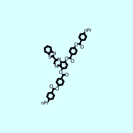 CCCc1ccc(C(=O)Oc2ccc(C(=O)Oc3ccc(OC(=O)c4ccc(OC(=O)c5ccc(CCC)cc5)cc4)c4nc(-c5nc6ccccc6s5)cnc34)cc2)cc1